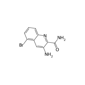 NC(=O)c1nc2cccc(Br)c2cc1N